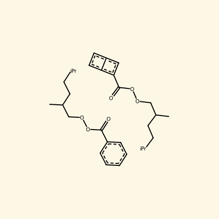 CC(C)CCC(C)COOC(=O)c1cc2ccc1-2.CC(C)CCC(C)COOC(=O)c1ccccc1